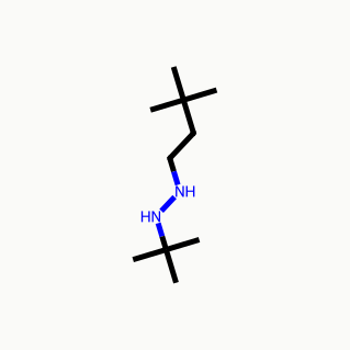 CC(C)(C)CCNNC(C)(C)C